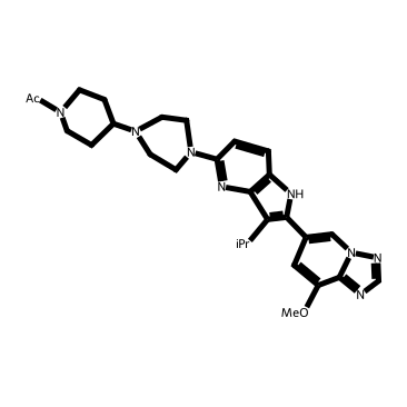 COc1cc(-c2[nH]c3ccc(N4CCN(C5CCN(C(C)=O)CC5)CC4)nc3c2C(C)C)cn2ncnc12